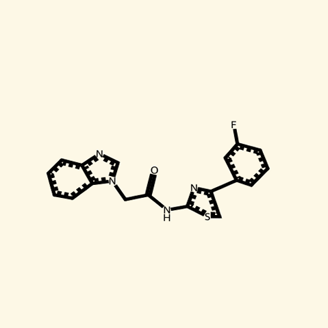 O=C(Cn1cnc2ccccc21)Nc1nc(-c2cccc(F)c2)cs1